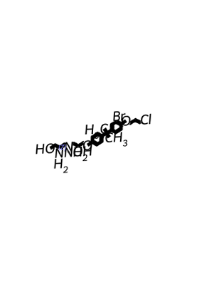 CC(C)(c1ccc(OCC(O)CN(N)/C=C(\N)CO)cc1)c1ccc(OCCCCl)c(Br)c1